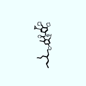 CCCC(CCC)CCOc1cc(C)c(C(=O)Nc2cc(Cl)c(Cl)c(C3CC3)c2)c(C)c1